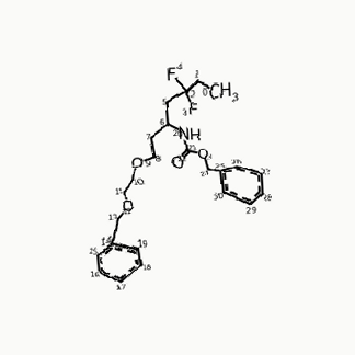 CCC(F)(F)CC(CCOCCOCc1ccccc1)NC(=O)OCc1ccccc1